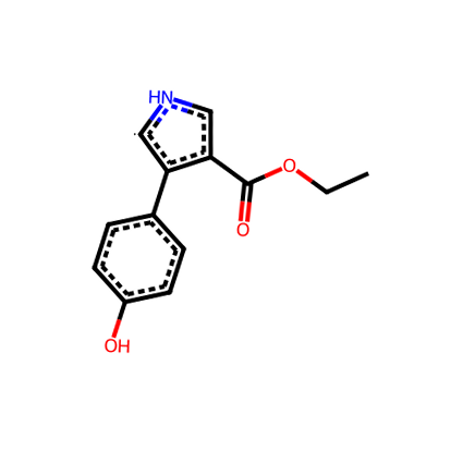 CCOC(=O)c1c[nH][c]c1-c1ccc(O)cc1